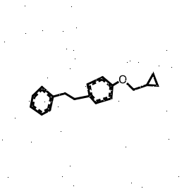 c1ccc(CCc2ccc(OCC3CC3)cc2)cc1